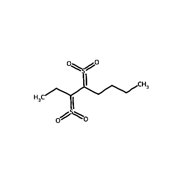 CCCCC(C(CC)=S(=O)=O)=S(=O)=O